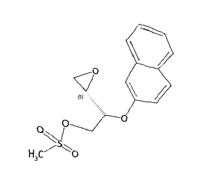 CS(=O)(=O)OCC(Oc1ccc2ccccc2c1)[C@@H]1CO1